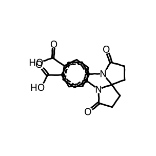 O=C(O)c1ccc(N2C(=O)CCC23CCC(=O)N3c2ccc(C(=O)O)cc2)cc1